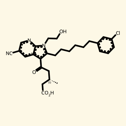 C[C@H](CC(=O)O)CC(=O)c1c(CCCCCCc2cccc(Cl)c2)n(CCO)c2ncc(C#N)cc12